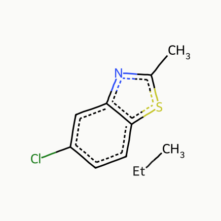 CCC.Cc1nc2cc(Cl)ccc2s1